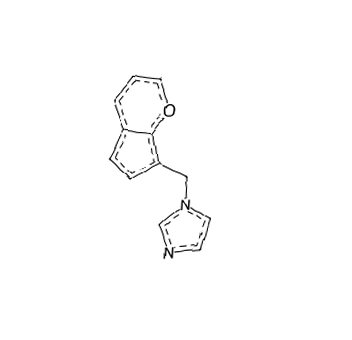 c1coc2c(Cn3ccnc3)ccc-2c1